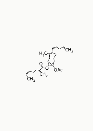 C=CC/C=C\C1=C(C)C2C(C1)C1CC2C(OC(=O)C(=C)CC/C=C\C)C1OC(C)=O